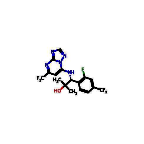 CC(C)(O)[C@H](Nc1cc(C(F)(F)F)nc2ncnn12)c1ccc(C(F)(F)F)cc1F